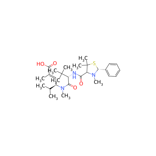 C/C(=C\[C@H](C(C)C)N(C)C(=O)[C@@H](NC(=O)C1N(C)[C@@H](c2ccccc2)SC1(C)C)C(C)(C)C)C(=O)O